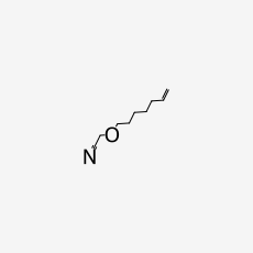 C=CCCCCCOCC#N